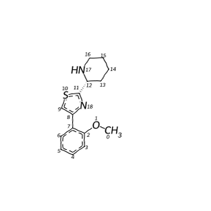 COc1ccccc1-c1csc([C@H]2CCCCN2)n1